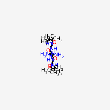 CC(C)C(C(=O)NCCNC(=O)c1nc(N)c(C(=O)NCCNC(=O)C(C(C)C)C(C)C)nc1N)C(C)C